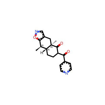 C[C@H]1c2oncc2C[C@@]2(C)C(=O)C(C(=O)c3ccncc3)CC[C@H]12